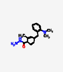 CC1=C/C(=C\c2ccccc2N(C)C)C=CC1C(=O)NN